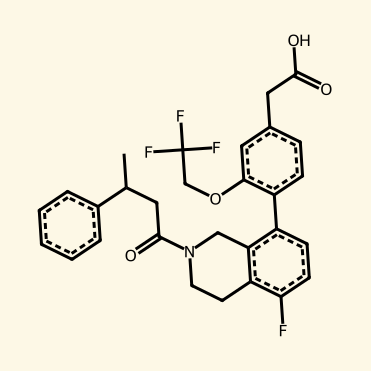 CC(CC(=O)N1CCc2c(F)ccc(-c3ccc(CC(=O)O)cc3OCC(F)(F)F)c2C1)c1ccccc1